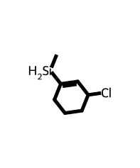 C[SiH2]C1=CC(Cl)CCC1